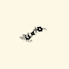 Cc1ccc(S(=O)(=O)OC2CC(OC3C[C@@](C)(C(=O)O)[N+](C(=O)[O-])(C(C)(C)C)C3=O)C2)cc1